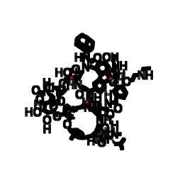 CCNCCOc1ccc(C(=O)NC(=O)C[C@@H]2NC(=O)[C@H](NC(=O)[C@@H](CC(C)C)NC)[C@H](O)c3ccc(c(C)c3)Oc3cc4cc(c3O[C@@H]3O[C@@H]5CNC(=O)O[C@H]5[C@H](O)[C@H]3O)Oc3ccc(cc3Cl)[C@@H](O)[C@@H]3NC(=O)[C@H](NC(=O)[C@@H]4NC2=O)c2ccc4c(c2)-c2c(cc(O)cc2C4(O)O)[C@@H](C(=O)NC2C4CC5CC(C4)CC2C5)NC3=O)cc1OCCNCC